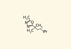 Cc1nnc(C(C)(C)CCC(C)C)o1